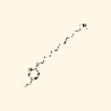 CCCCCCCCCCCCOc1ccc([C]=O)cn1